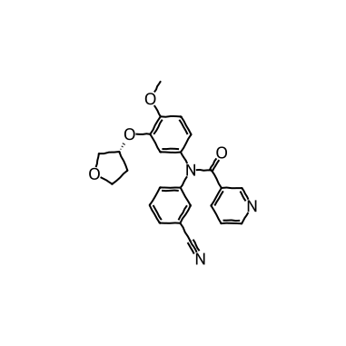 COc1ccc(N(C(=O)c2cccnc2)c2cccc(C#N)c2)cc1O[C@@H]1CCOC1